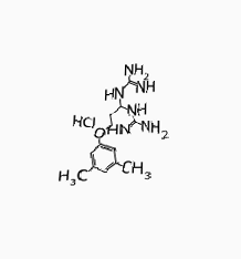 Cc1cc(C)cc(OCCC(NC(=N)N)NC(=N)N)c1.Cl